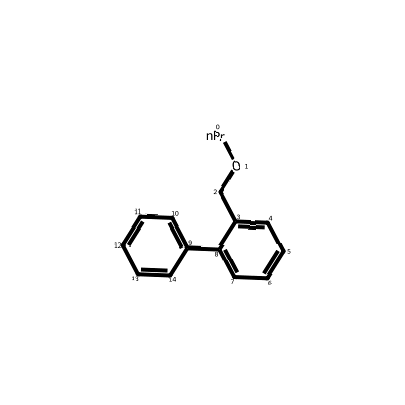 C[CH]COCc1ccccc1-c1ccccc1